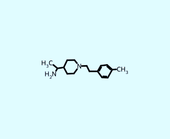 Cc1ccc(CCN2CCC(C(C)N)CC2)cc1